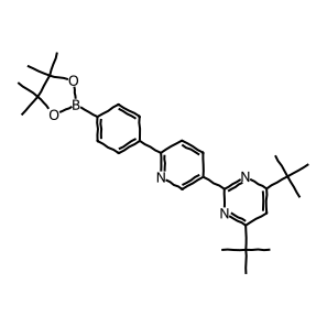 CC(C)(C)c1cc(C(C)(C)C)nc(-c2ccc(-c3ccc(B4OC(C)(C)C(C)(C)O4)cc3)nc2)n1